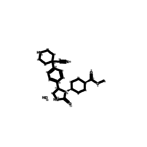 COC(=O)[C@H]1CC[C@H](N2C(=O)NCC2c2ccc(C3(C#N)CCNCC3)cc2)CC1.Cl